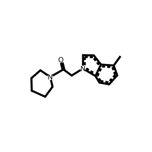 Cc1cccc2c1ccn2CC(=O)N1CCCCC1